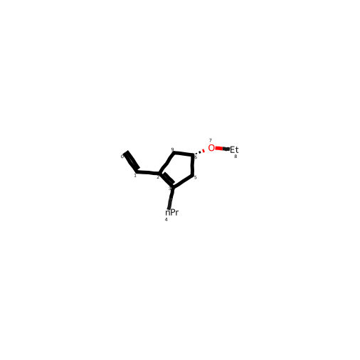 C=CC1=C(CCC)C[C@@H](OCC)C1